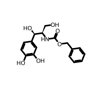 O=C(N[C@H](CO)[C@H](O)c1ccc(O)c(O)c1)OCc1ccccc1